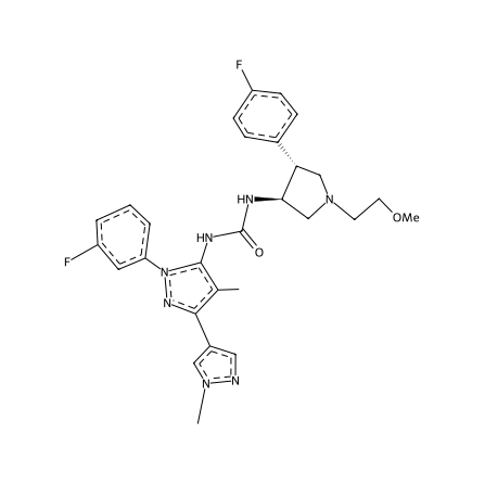 COCCN1C[C@@H](NC(=O)Nc2c(C)c(-c3cnn(C)c3)nn2-c2cccc(F)c2)[C@H](c2ccc(F)cc2)C1